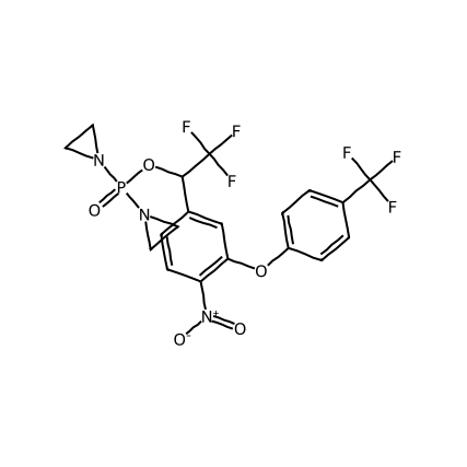 O=[N+]([O-])c1ccc(C(OP(=O)(N2CC2)N2CC2)C(F)(F)F)cc1Oc1ccc(C(F)(F)F)cc1